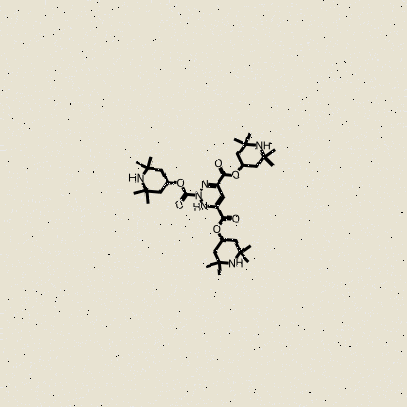 CC1(C)CC(OC(=O)C2=CC(C(=O)OC3CC(C)(C)NC(C)(C)C3)=NN(C(=O)OC3CC(C)(C)NC(C)(C)C3)N2)CC(C)(C)N1